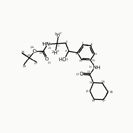 [2H]C([2H])(CC(O)c1cccc(NC(=O)C2CCCCC2)c1)NC(=O)OC(C)(C)C